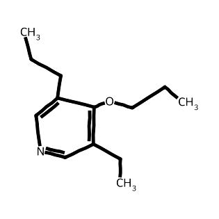 CCCOc1c(CC)cncc1CCC